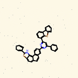 C1=CC(C2Nc3c(ccc4ccc5cc(-c6nc(-c7ccccc7)cc(-c7cccc8c7sc7ccccc78)n6)ccc5c34)S2)=CCC1